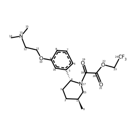 C[C@H]1CC[C@H](c2cccc(OCCN(C)C)c2)N(C(=O)C(=O)OCC(F)(F)F)C1